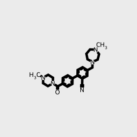 CN1CCCN(Cc2ccc(-c3ccc(C(=O)N4CCN(C)CC4)cc3)c(C#N)c2)CC1